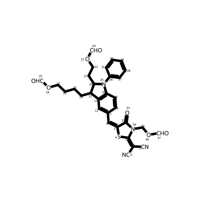 N#CC(C#N)=c1s/c(=C/c2ccc3c(c2)C(CCCCOC=O)C(CCOC=O)N3c2ccccc2)c(=O)n1COC=O